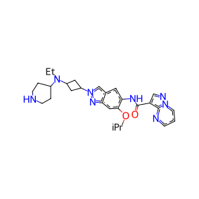 CCN(C1CCNCC1)C1CC(n2cc3cc(NC(=O)c4cnn5cccnc45)c(OC(C)C)cc3n2)C1